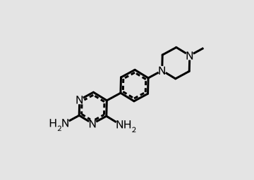 CN1CCN(c2ccc(-c3cnc(N)nc3N)cc2)CC1